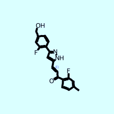 Cc1ccc(C(=O)/C=C/c2cc(-c3ccc(CO)cc3F)n[nH]2)c(F)c1